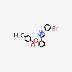 Cc1ccc(C(=O)Oc2ccccc2-c2cn(-c3cccc(Br)c3)nn2)cc1